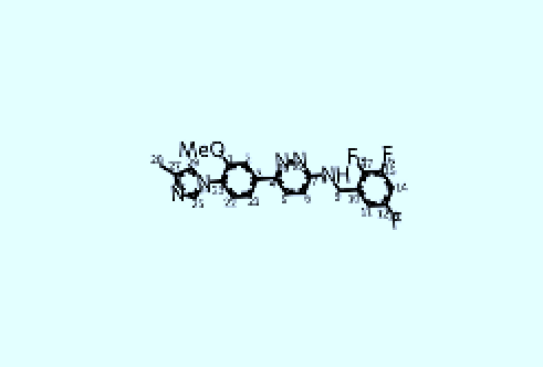 COc1cc(-c2ccc(NCc3cc(F)cc(F)c3F)nn2)ccc1-n1cnc(C)c1